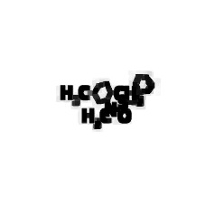 CC1CCC(C)C(N(C)C(=O)SCc2ccccc2)C1